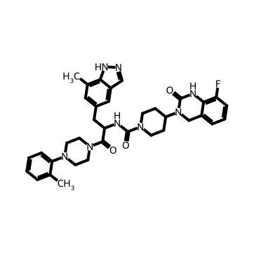 Cc1ccccc1N1CCN(C(=O)C(Cc2cc(C)c3[nH]ncc3c2)NC(=O)N2CCC(N3Cc4cccc(F)c4NC3=O)CC2)CC1